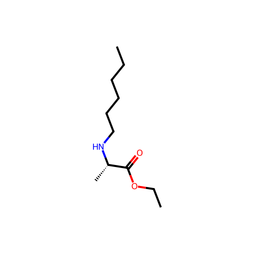 CCCCCCN[C@@H](C)C(=O)OCC